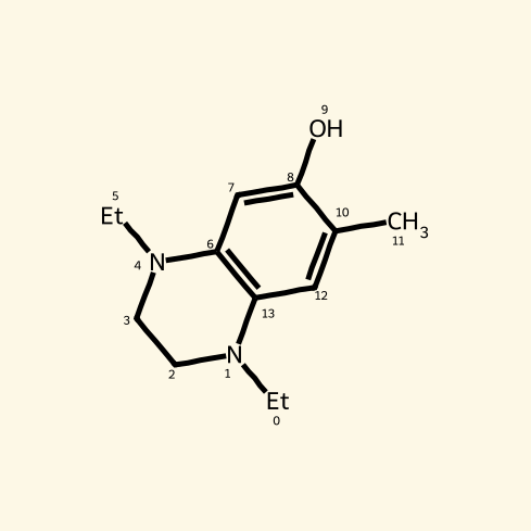 CCN1CCN(CC)c2cc(O)c(C)cc21